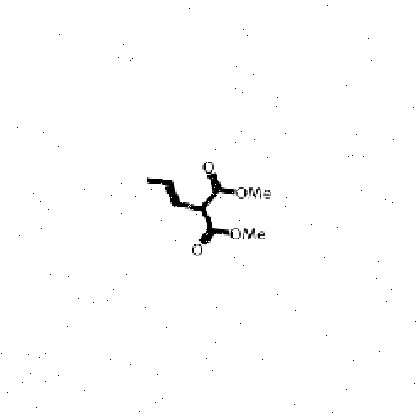 C/C=C/C(C(=O)OC)C(=O)OC